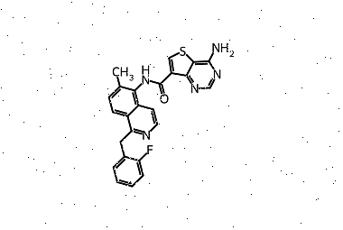 Cc1ccc2c(Cc3ccccc3F)nccc2c1NC(=O)c1csc2c(N)ncnc12